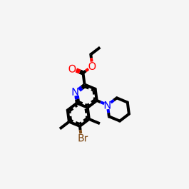 CCOC(=O)c1cc(N2CCCCC2)c2c(C)c(Br)c(C)cc2n1